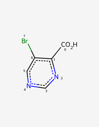 O=C(O)c1ncncc1Br